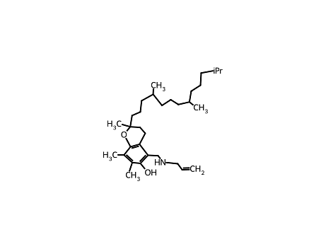 C=CCNCc1c(O)c(C)c(C)c2c1CCC(C)(CCCC(C)CCCC(C)CCCC(C)C)O2